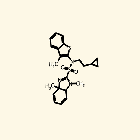 Cc1c(N(CCC2CC2)S(=O)(=O)C2=NC3(C)C=CC=CC3N2C)sc2ccccc12